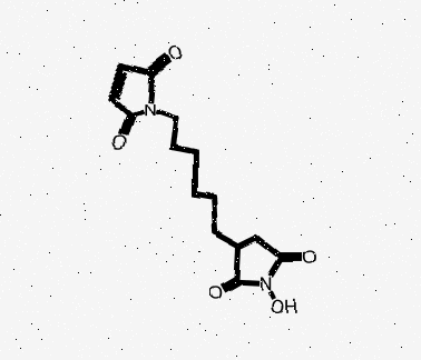 O=C1CC(CCCCCCN2C(=O)C=CC2=O)C(=O)N1O